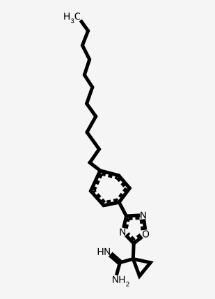 CCCCCCCCCCCc1ccc(-c2noc(C3(C(=N)N)CC3)n2)cc1